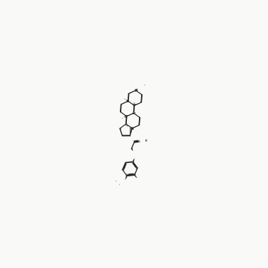 C[C@@]1(O)CC[C@@]2(F)[C@H](CC[C@H]3[C@@H]4CC[C@H](C(=C=O)COc5ccc(C#N)c(F)c5)[C@@]4(C)CC[C@@H]32)C1